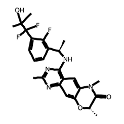 Cc1nc(N[C@H](C)c2cccc(C(F)(F)C(C)(C)O)c2F)c2cc3c(cc2n1)O[C@@H](C)C(=O)N3C